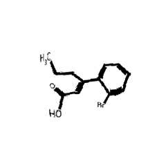 CCCC(=CC(=O)O)c1ccccc1Br